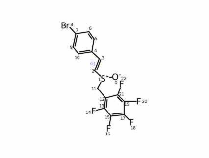 [O-][S+](/C=C/c1ccc(Br)cc1)Cc1c(F)c(F)c(F)c(F)c1F